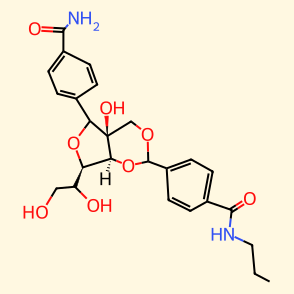 CCCNC(=O)c1ccc(C2OC[C@@]3(O)C(c4ccc(C(N)=O)cc4)O[C@H](C(O)CO)[C@@H]3O2)cc1